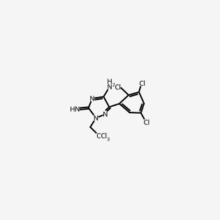 N=c1nc(N)c(-c2cc(Cl)cc(Cl)c2Cl)nn1CC(Cl)(Cl)Cl